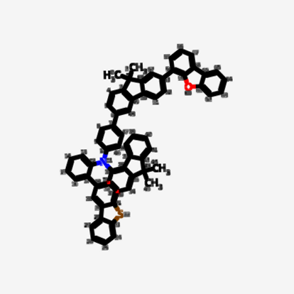 CC1(C)c2ccc(-c3ccc(N(c4ccccc4-c4ccc5sc6ccccc6c5c4)c4cccc5c4-c4ccccc4C5(C)C)cc3)cc2-c2ccc(-c3cccc4c3oc3ccccc34)cc21